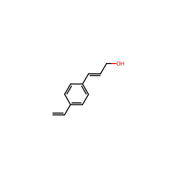 C=Cc1ccc(C=CCO)cc1